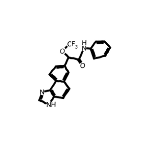 O=C(Nc1ccccc1)C(OC(F)(F)F)c1ccc2c(ccc3[nH]cnc32)c1